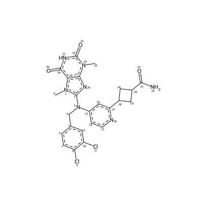 Cn1c(N(Cc2ccc(Cl)c(Cl)c2)c2ccnc(C3CC(C(N)=O)C3)c2)nc2c1c(=O)[nH]c(=O)n2C